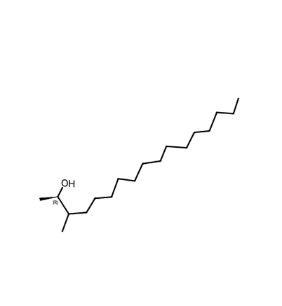 CCCCCCCCCCCCCCC(C)[C@@H](C)O